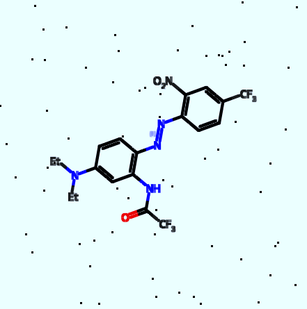 CCN(CC)c1ccc(/N=N/c2ccc(C(F)(F)F)cc2[N+](=O)[O-])c(NC(=O)C(F)(F)F)c1